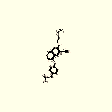 COCCOc1cc2nccc(Oc3ccc(NC(=O)O)cc3)c2cc1C#N